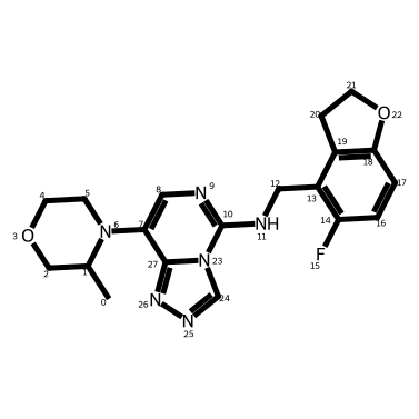 CC1COCCN1c1cnc(NCc2c(F)ccc3c2CCO3)n2cnnc12